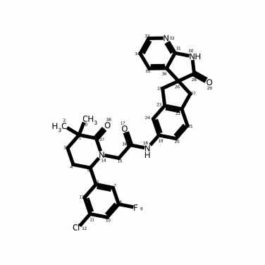 CC1(C)CCC(c2cc(F)cc(Cl)c2)N(CC(=O)Nc2ccc3c(c2)CC2(C3)C(=O)Nc3ncccc32)C1=O